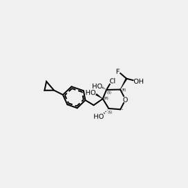 OC(F)[C@H]1O[CH][C@H](O)[C@](O)(Cc2ccc(C3CC3)cc2)[C@@]1(O)Cl